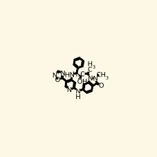 CC(C)n1c2cc(Nc3cc(N[C@H](CO)c4ccccc4)c(-c4ncno4)cn3)ccc2c(=O)n1C